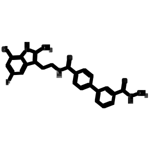 CNC(=O)c1cccc(-c2ccc(C(=O)NCCc3c(C)[nH]c4c(Cl)cc(F)cc34)cc2)c1